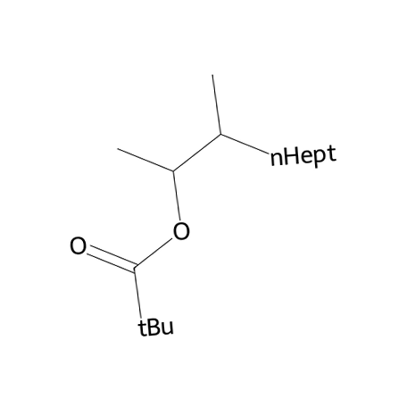 CCCCCCCC(C)C(C)OC(=O)C(C)(C)C